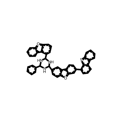 c1ccc(C2NC(c3ccc4oc5cc(-c6cccc7c6sc6ccccc67)ccc5c4c3)NC(c3cccc4oc5ccccc5c34)N2)cc1